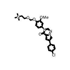 COc1cc(-n2cnn3cc(-c4ccc(Cl)cc4)cc3c2=O)ccc1OCOCC[Si](C)(C)C